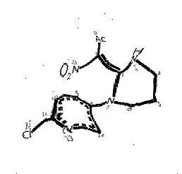 CC(=O)C(=C1NCCCN1c1ccc(Cl)nc1)[N+](=O)[O-]